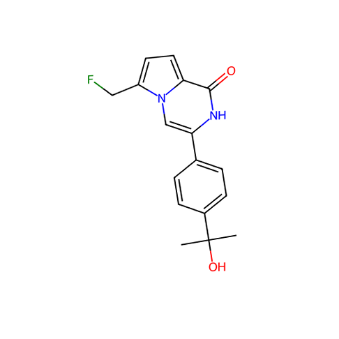 CC(C)(O)c1ccc(-c2cn3c(CF)ccc3c(=O)[nH]2)cc1